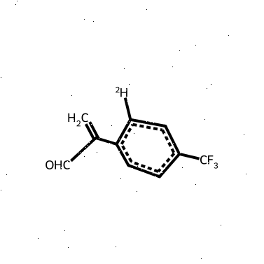 [2H]c1cc(C(F)(F)F)ccc1C(=C)C=O